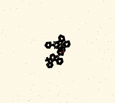 CC1(C)c2ccccc2-c2c1ccc1c2c2ccccc2n1-c1cccc(-c2nc(-c3ccccc3)nc3c2[Si](c2ccccc2)(c2ccccc2)c2ccccc2-3)c1